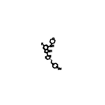 CC(=O)N1CCN(CC[C@@H]2CSC(c3cc4cc(F)cc(NC5CCOCC5)c4[nH]3)=N2)CC1